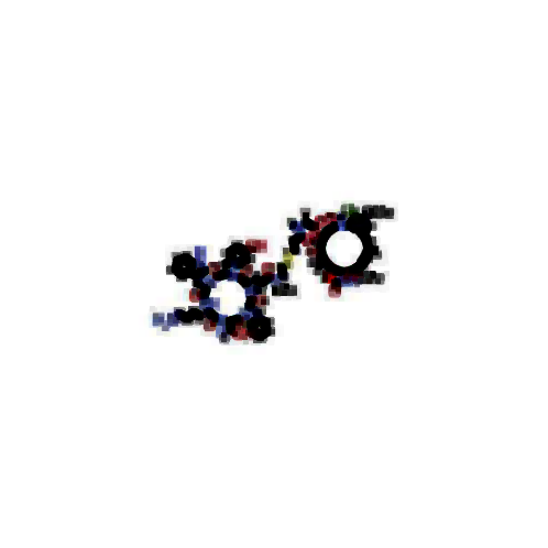 CCCCN(CCSSCCC(=O)N(C)[C@@H](C)C(=O)O[C@H]1CC(=O)N(C)c2cc(cc(OC)c2Cl)CC(C)=C=C[C@@H](OC)[C@@]2(O)C[C@H](OC(=O)N2)[C@@H](C)[C@@H]2O[C@@]12C)C(=O)CC[C@H]1C(=O)N[C@@H](Cc2ccc(O)cc2)C(=O)N[C@H](Cc2c[nH]c3ccccc23)C(=O)N[C@@H](CCCCN)C(=O)N[C@@H]([C@@H](C)O)C(=O)N[C@@H](Cc2ccccc2)C(=O)N1C